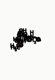 CC(C)C(CC(=O)NCCc1ccccc1)C(=O)NC(CC(=O)O)C(=O)CNS(=O)(=O)CC12CCC(CC1)C2(C)C